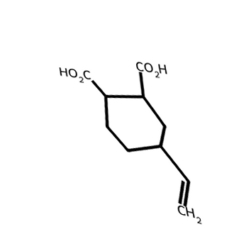 C=CC1CCC(C(=O)O)C(C(=O)O)C1